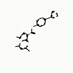 Cc1cc(C)n2c(F)cc(C(=O)Nc3ccc(-c4cocn4)cc3)c2n1